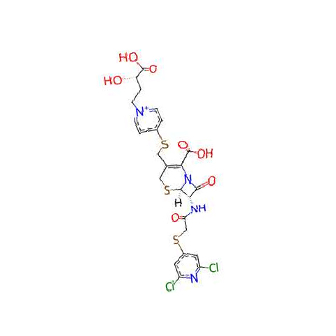 O=C(CSc1cc(Cl)nc(Cl)c1)N[C@H]1C(=O)N2C(C(=O)O)=C(CSc3cc[n+](CC[C@H](O)C(=O)O)cc3)CS[C@H]12